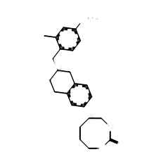 COc1ccc(C[C@@H]2CCc3cc([C@H]4CCCOC(=O)NC4)ccc3C2)c(C)c1